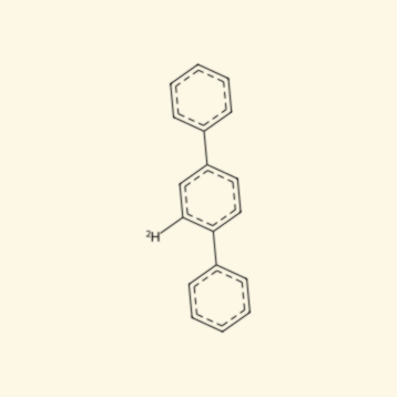 [2H]c1cc(-c2ccccc2)ccc1-c1ccccc1